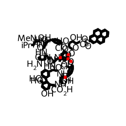 CN[C@@H](CC(C)C)C(=O)N[C@H]1C(=O)N[C@@H](CC(N)=O)C(=O)NC2C(=O)NC3C(=O)N[C@H](C(=O)N[C@@H](C(=O)O)c4cc(O)cc(O)c4-c4cc3ccc4O)[C@H](O)c3ccc(c(Cl)c3)Oc3cc2cc(c3OC2OC(COS(=O)(=O)c3cc4ccc5cccc6ccc(c3)c4c56)C(O)C(O)C2OC2CC(C)(N)C(O)C(C)O2)Oc2ccc(cc2Cl)[C@H]1O